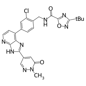 Cn1ncc(-c2nc3c(-c4ccc(CNC(=O)c5nc(C(C)(C)C)no5)c(Cl)c4)ccnc3[nH]2)cc1=O